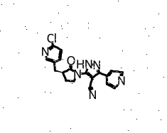 N#Cc1c(-c2ccncc2)n[nH]c1N1CC[C@@H](Cc2ccc(Cl)nc2)C1=O